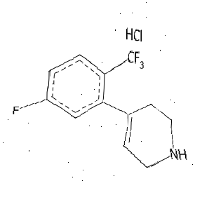 Cl.Fc1ccc(C(F)(F)F)c(C2=CCNCC2)c1